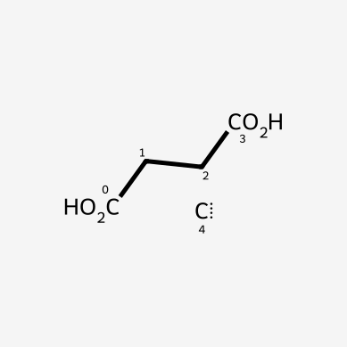 O=C(O)CCC(=O)O.[C]